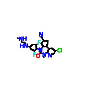 CNCCNc1cc(F)c(N2C(=O)N(C)c3ncc(Cl)cc3-c3ccc(C#N)cc32)c(F)c1